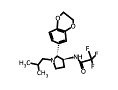 CC(C)CN1CC[C@H](NC(=O)C(F)(F)F)[C@H]1c1ccc2c(c1)OCCO2